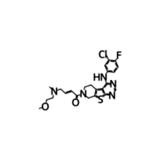 COCCN(C)C/C=C/C(=O)N1CCc2c(sc3ncnc(Nc4ccc(F)c(Cl)c4)c23)C1